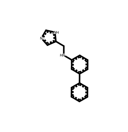 c1ccc(-c2cccc(NCc3cnc[nH]3)c2)cc1